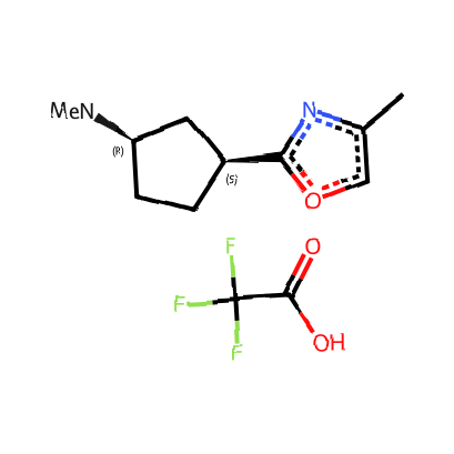 CN[C@@H]1CC[C@H](c2nc(C)co2)C1.O=C(O)C(F)(F)F